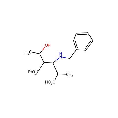 CCOC(=O)C(C(C)O)C(NCc1ccccc1)C(C)C(=O)O